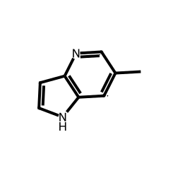 Cc1[c]c2[nH]ccc2nc1